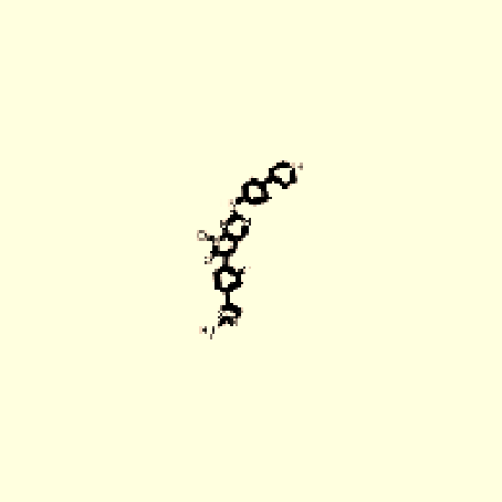 CCn1c(=O)c(-c2ccc(-c3cnc(C)s3)cc2Cl)cc2cnc(Nc3ccc(C4CCNCC4)cc3)nc21